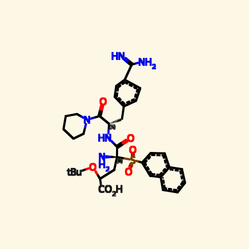 CC(C)(C)OC(C[C@](N)(C(=O)N[C@@H](Cc1ccc(C(=N)N)cc1)C(=O)N1CCCCC1)S(=O)(=O)c1ccc2ccccc2c1)C(=O)O